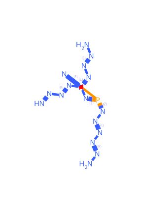 N=N/N=N/N=N/P(=N\N=N\N=N\N)=N\N=N\N=N\N